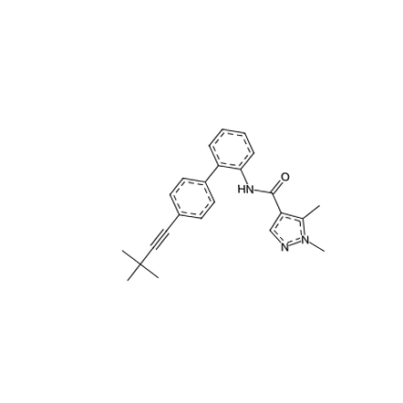 Cc1c(C(=O)Nc2ccccc2-c2ccc(C#CC(C)(C)C)cc2)cnn1C